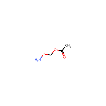 CC(=O)OCON